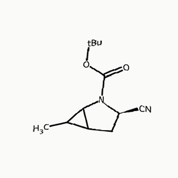 CC1C2C[C@H](C#N)N(C(=O)OC(C)(C)C)C12